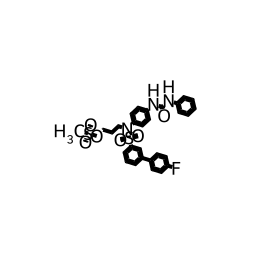 CS(=O)(=O)OCCCN(c1ccc(NC(=O)Nc2ccccc2)cc1)S(=O)(=O)c1cccc(-c2ccc(F)cc2)c1